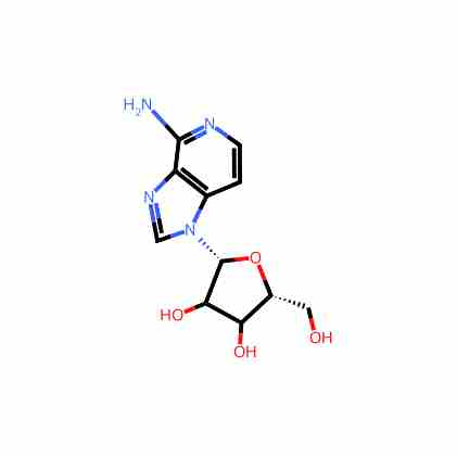 Nc1nccc2c1ncn2[C@@H]1O[C@H](CO)C(O)C1O